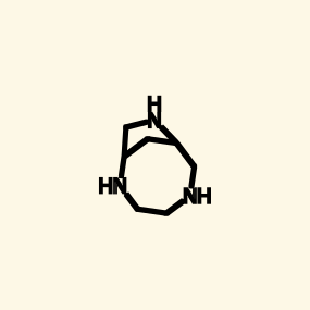 C1CNC2CNC(CN1)C2